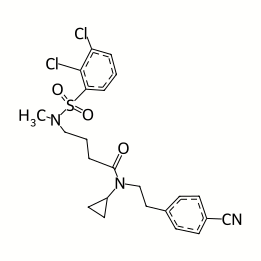 CN(CCCC(=O)N(CCc1ccc(C#N)cc1)C1CC1)S(=O)(=O)c1cccc(Cl)c1Cl